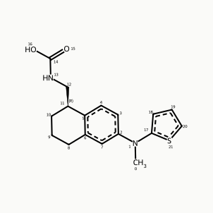 CN(c1ccc2c(c1)CCC[C@H]2CNC(=O)O)c1cccs1